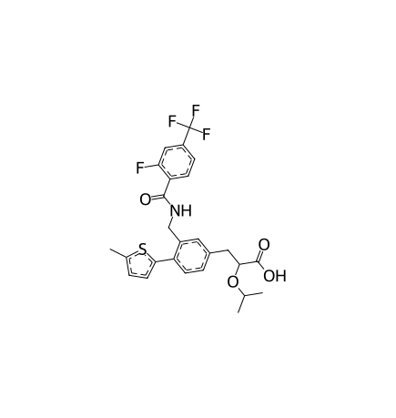 Cc1ccc(-c2ccc(CC(OC(C)C)C(=O)O)cc2CNC(=O)c2ccc(C(F)(F)F)cc2F)s1